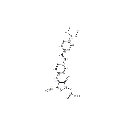 [C-]#[N+]C1=NN(CC(=O)O)C(=O)/C1=C\c1ccc(/N=N/c2ccc(N(CC)CC)cc2)cc1